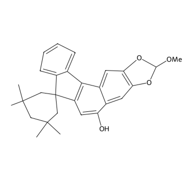 COC1Oc2cc3c(O)cc4c(c3cc2O1)-c1ccccc1C41CC(C)(C)CC(C)(C)C1